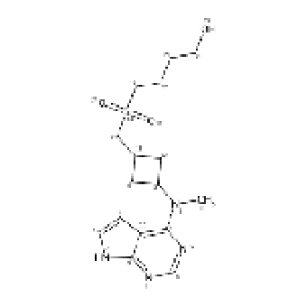 CN(c1ncnc2[nH]ccc12)C1CC(CS(=O)(=O)CCCCO)C1